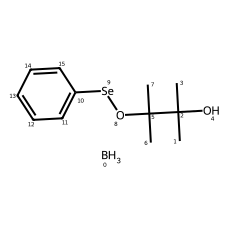 B.CC(C)(O)C(C)(C)O[Se]c1ccccc1